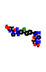 COO/C=N\[C@H](C(=O)N1CCC[C@H]1c1nc2cc(-c3ccc4cc(-c5c[nH]c([C@@H]6CCCN6C(=O)[C@@H](NC(=O)OC)C(C)C)n5)ccc4c3)c(Cl)cc2[nH]1)C(C)C